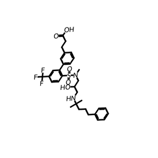 CN(CC(O)CNC(C)(C)CCCc1ccccc1)S(=O)(=O)c1ccc(C(F)(F)F)cc1-c1cccc(CCC(=O)O)c1